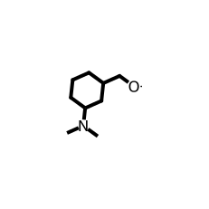 CN(C)C1CCCC(C[O])C1